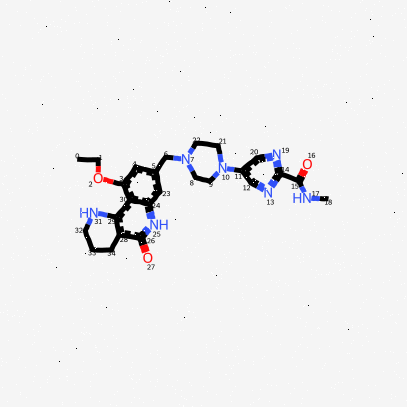 CCOc1cc(CN2CCN(c3cnc(C(=O)NC)nc3)CC2)cc2[nH]c(=O)c3c(c12)NCCC3